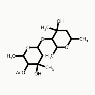 CC(=O)OC1C(C)OC(OC2C(C)OC(C)CC2(C)O)CC1(C)O